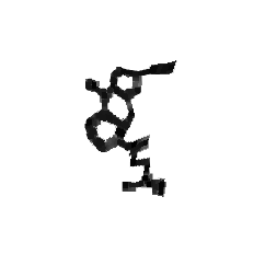 CCN(CC)CCNc1cccc2c1Cc1cc(O)ccc1[S+]2[O-]